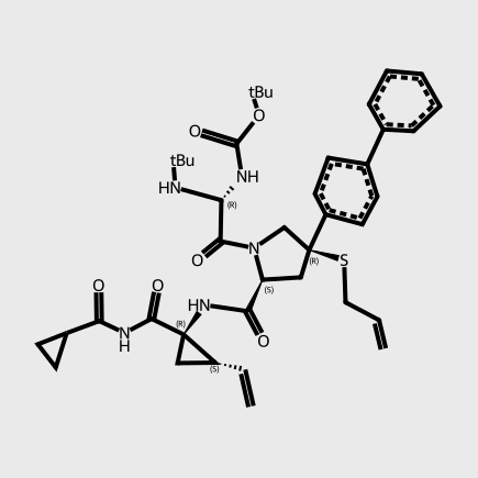 C=CCS[C@@]1(c2ccc(-c3ccccc3)cc2)C[C@@H](C(=O)N[C@]2(C(=O)NC(=O)C3CC3)C[C@H]2C=C)N(C(=O)[C@@H](NC(=O)OC(C)(C)C)NC(C)(C)C)C1